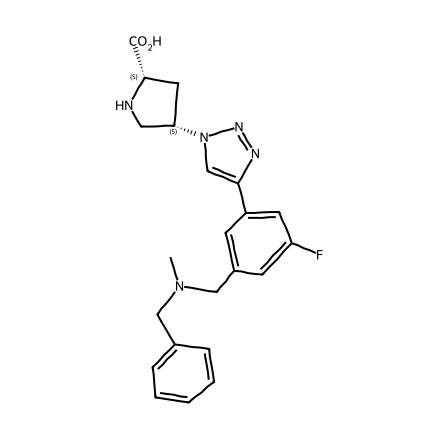 CN(Cc1ccccc1)Cc1cc(F)cc(-c2cn([C@@H]3CN[C@H](C(=O)O)C3)nn2)c1